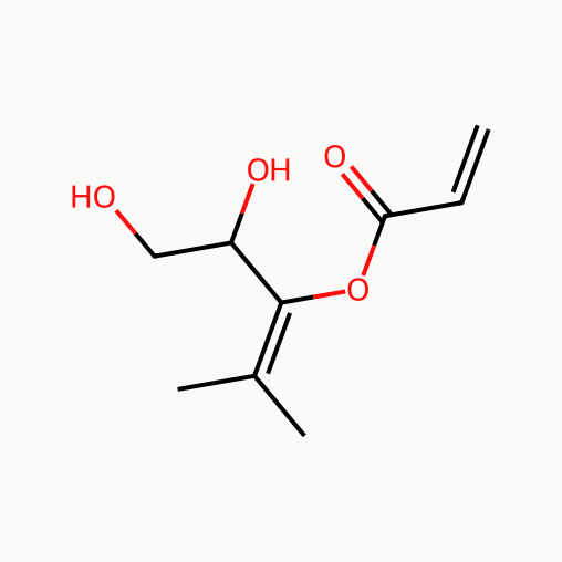 C=CC(=O)OC(=C(C)C)C(O)CO